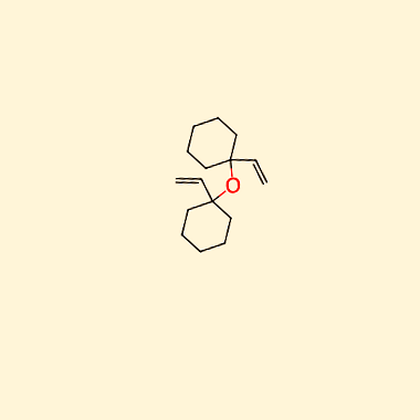 C=CC1(OC2(C=C)CCCCC2)CCCCC1